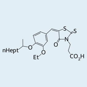 CCCCCCCC(C)Oc1ccc(/C=C2/SC(=S)N(CCC(=O)O)C2=O)cc1OCC